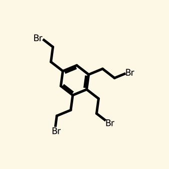 BrCCc1cc(CCBr)c(CCBr)c(CCBr)c1